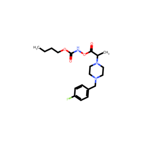 CCCCOC(=O)NOC(=O)C(C)N1CCN(Cc2ccc(F)cc2)CC1